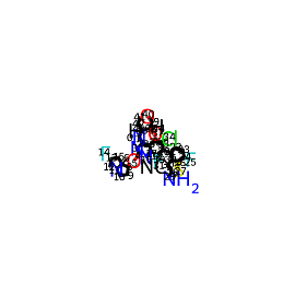 CN1c2nc(OC[C@@]34CCCN3C[C@H](F)C4)nc3c(F)c(-c4ccc(F)c5sc(N)c(C#N)c45)c(Cl)c(c23)O[C@H]2COCC[C@@H]21